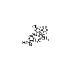 CC(C)CN(C(=O)c1ccccc1)c1ccc(Cl)cc1OCc1ccc(C(=O)O)cc1